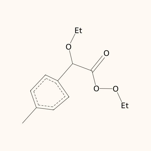 CCOOC(=O)C(OCC)c1ccc(C)cc1